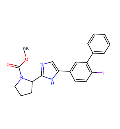 CC(C)(C)OC(=O)N1CCCC1c1ncc(-c2ccc(I)c(-c3ccccc3)c2)[nH]1